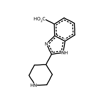 O=C(O)c1cccc2[nH]c(C3CCNCC3)nc12